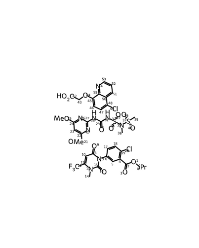 CC(C)OC(=O)c1cc(-n2c(=O)cc(C(F)(F)F)n(C)c2=O)ccc1Cl.COc1cc(OC)nc(NC(=O)NS(=O)(=O)N(C)S(C)(=O)=O)n1.O=C(O)COc1ccc(Cl)c2cccnc12